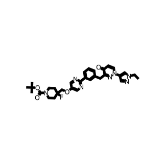 CCn1cc(-n2ccc(=O)c(Cc3cccc(-c4ncc(OCC5(F)CCN(C(=O)OC(C)(C)C)CC5)cn4)c3)n2)cn1